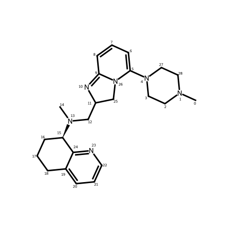 CN1CCN(C2=CC=CC3=NC(CN(C)[C@@H]4CCCc5cccnc54)CN23)CC1